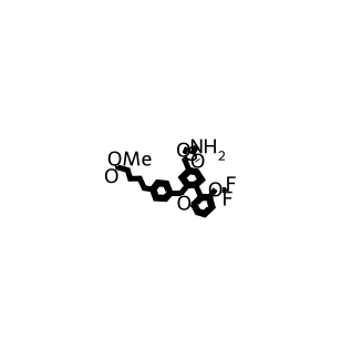 COC(=O)CCCCc1ccc(C2Oc3cccc(OC(F)F)c3-c3ccc(CS(N)(=O)=O)cc32)cc1